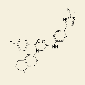 Nc1nc(-c2ccc(NC(=O)CN(C(=O)c3ccc(F)cc3)c3ccc4c(c3)CCCN4)cc2)cs1